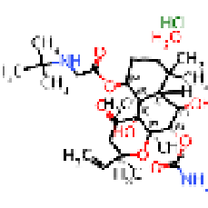 C=C[C@@]1(C)CC(=O)[C@@]2(O)[C@@]3(C)[C@@H](OC(=O)CNC(C)(C)C)CCC(C)(C)[C@@H]3[C@@H](O)[C@H](OC(N)=O)[C@@]2(C)O1.Cl.O